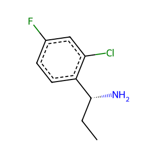 CC[C@@H](N)c1ccc(F)cc1Cl